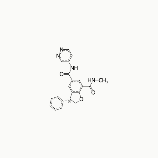 CNC(=O)c1cc(C(=O)Nc2ccnnc2)cc2c1OC[C@@H]2c1ccccc1